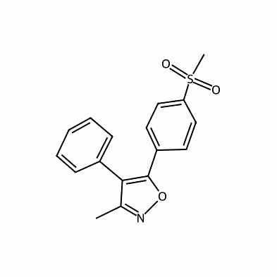 Cc1noc(-c2ccc(S(C)(=O)=O)cc2)c1-c1ccccc1